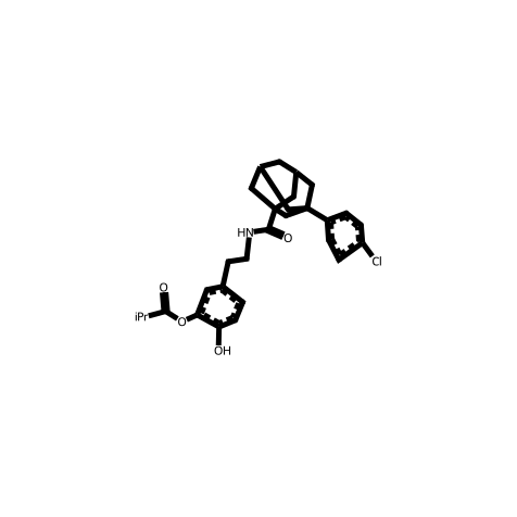 CC(C)C(=O)Oc1cc(CCNC(=O)C23CC4CC(C2)CC(c2ccc(Cl)cc2)(C4)C3)ccc1O